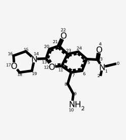 CN(C)C(=O)c1cc(CCN)c2oc(N3CCOCC3)cc(=O)c2c1